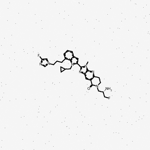 Cn1c(-c2cc3cccc(CCCn4cnc(F)c4)c3n2CC2CC2)nc2cc3c(nc21)CCN(C[C@H](N)CF)C3=O